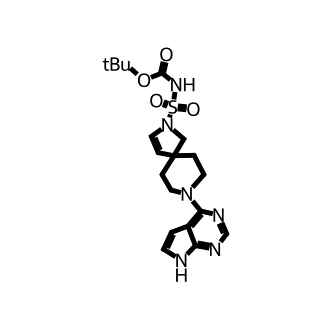 CC(C)(C)OC(=O)NS(=O)(=O)N1C=CC2(CCN(c3ncnc4[nH]ccc34)CC2)C1